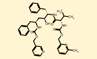 Cc1cccc(COC(=O)N[C@H](C(=O)N[C@@H](Cc2ccccc2)[C@@H](O)C[C@H](Cc2ccccc2)NC(=O)OCc2cccnc2)C(C)C)n1